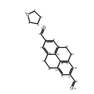 C1CCOC1.O=Cc1cc2c3c(c1)CCc1cc(C=O)cc(c1-3)CC2